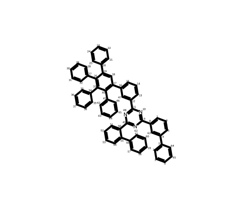 c1ccc(-c2cccc(-c3nc(-c4cccc(-c5cc(-c6ccccc6)c(-c6ccccc6)c(-c6ccccc6)c5-c5ccccc5)c4)nc(-c4ccccc4-c4ccccc4)n3)c2)cc1